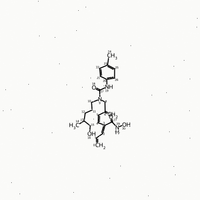 C=C/C=C(\C=C/C(=C)CN(CCCC(C)CO)C(=O)Nc1ccc(C)cc1)C(=O)NO